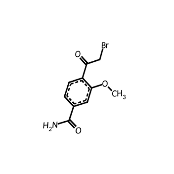 COc1cc(C(N)=O)ccc1C(=O)CBr